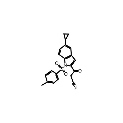 Cc1ccc(S(=O)(=O)n2c(C(=O)CC#N)cc3cc(C4CC4)ccc32)cc1